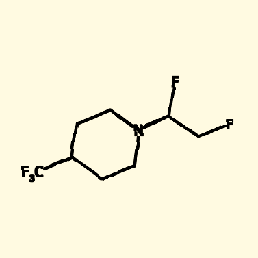 FCC(F)N1CCC(C(F)(F)F)CC1